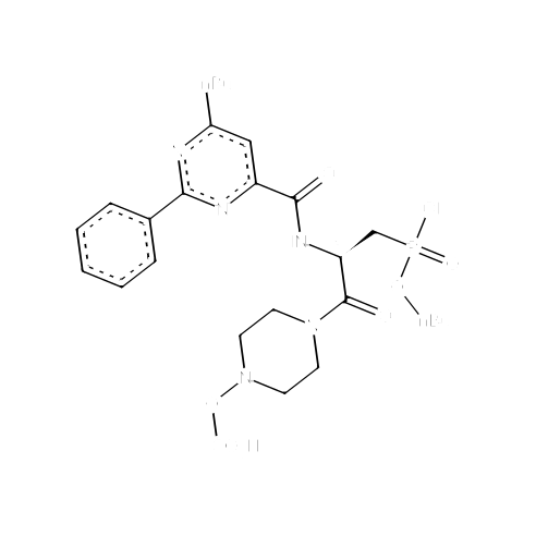 CCCCOP(=O)(O)C[C@H](NC(=O)c1cc(CCCC)nc(-c2ccccc2)n1)C(=O)N1CCN(OC(=O)O)CC1